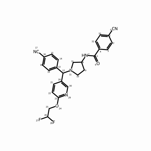 N#Cc1ccc(C(=O)NC2CCN(C(c3ccc(C#N)cc3)c3ccc(OCC(F)F)nc3)C2)cc1